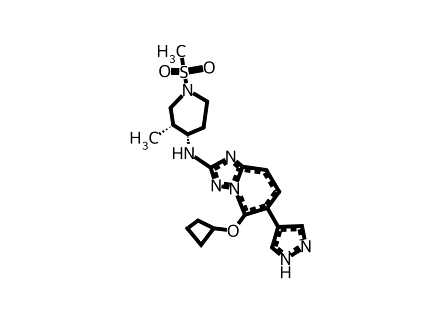 C[C@@H]1CN(S(C)(=O)=O)CC[C@@H]1Nc1nc2ccc(-c3cn[nH]c3)c(OC3CCC3)n2n1